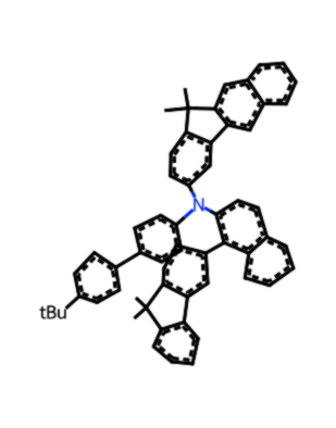 CC(C)(C)c1ccc(-c2ccc(N(c3ccc4c(c3)-c3cc5ccccc5cc3C4(C)C)c3ccc4ccccc4c3-c3ccc4c(c3)-c3ccccc3C4(C)C)cc2)cc1